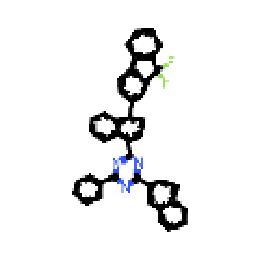 FC1(F)c2ccccc2-c2ccc(-c3ccc(-c4nc(-c5ccccc5)nc(-c5ccc6ccccc6c5)n4)c4ccccc34)cc21